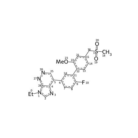 CCn1cnc2c(-c3ccc(F)c(-c4ccc(CS(C)(=O)=O)cc4OC)c3)cnnc21